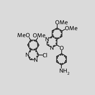 COc1cc2ncnc(Cl)c2cc1OC.COc1cc2ncnc(Oc3ccc(N)cc3)c2cc1OC